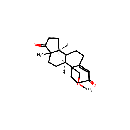 COCC12CCC(=O)C=C1CCC1[C@@H]3CCC(=O)C3(C)CC[C@@H]12